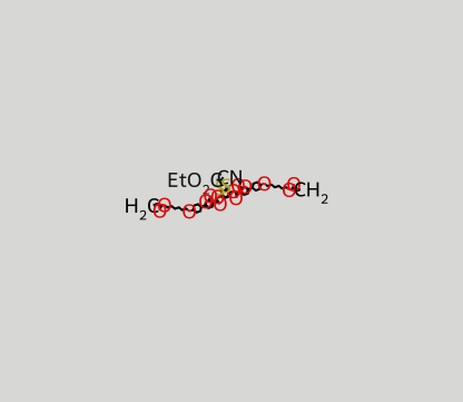 C=CC(=O)OCCCCCCOC1CCC(c2ccc(C(=O)Oc3ccc(OC(=O)c4ccc(C5CCC(OCCCCCCOC(=O)C=C)CC5)oc4=O)c4c3SC(=C(C#N)C(=O)OCC)S4)c(=O)o2)CC1